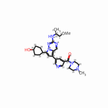 COC[C@H](C)Nc1ncc2c(-c3cncc(C(=O)N4CCN(C)CC4)c3)cc(C3CCC(O)CC3)n2n1